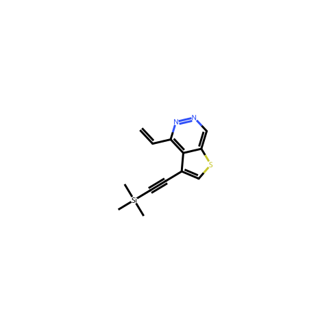 C=Cc1nncc2scc(C#C[Si](C)(C)C)c12